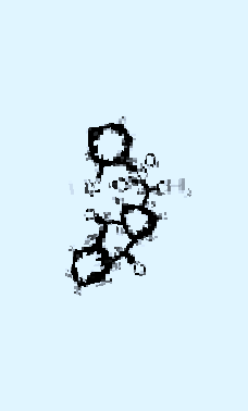 Cc1ccccc1S(=O)(=O)C(C)c1ccc2c(c1)C(=O)c1ccccc1C2=O